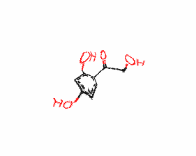 O=C(CO)c1ccc(O)cc1O